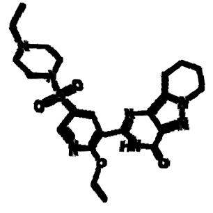 CCOc1ncc(S(=O)(=O)N2CCN(CC)CC2)cc1-c1nc2c3n(nc2c(=O)[nH]1)CCCC3